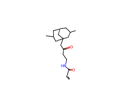 C=CC(=O)NCCC(=O)CC12CC(C)CC(CC(C)C1)C2